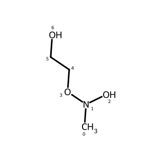 CN(O)OCCO